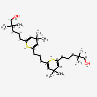 CC1(C)C=C(CCCC2=CC(C)(C)C=C(CCCC(C)(C)CO)S2)SC(CCCC(C)(C)CO)=C1